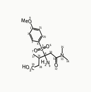 COc1ccc(S(=O)(=O)C(N)(CC(=O)N(C)C)C(C)CC(=O)O)cc1